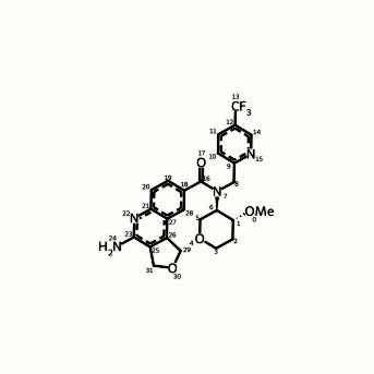 CO[C@@H]1CCOC[C@H]1N(Cc1ccc(C(F)(F)F)cn1)C(=O)c1ccc2nc(N)c3c(c2c1)COC3